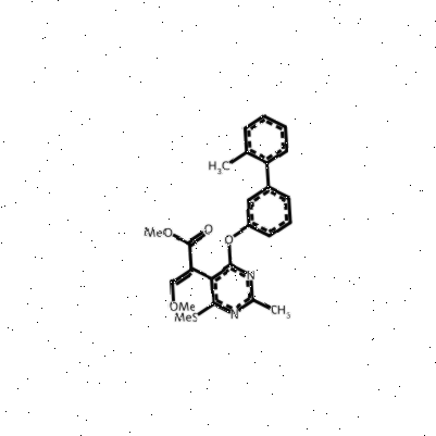 CO/C=C(/C(=O)OC)c1c(Oc2cccc(-c3ccccc3C)c2)nc(C)nc1SC